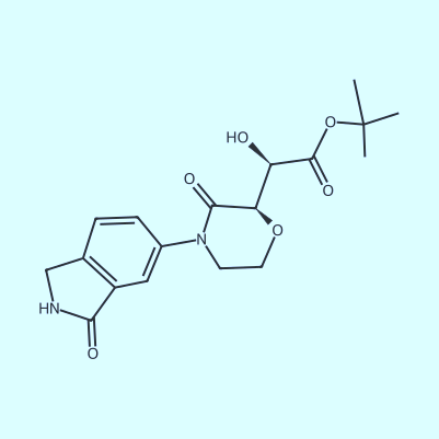 CC(C)(C)OC(=O)[C@H](O)[C@H]1OCCN(c2ccc3c(c2)C(=O)NC3)C1=O